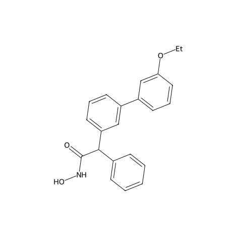 CCOc1cccc(-c2cccc(C(C(=O)NO)c3ccccc3)c2)c1